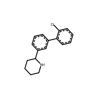 Clc1ccccc1-c1c[c]cc(C2CCCCN2)c1